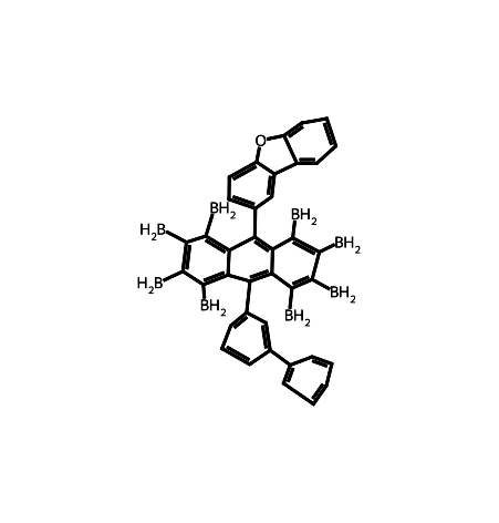 Bc1c(B)c(B)c2c(-c3ccc4oc5ccccc5c4c3)c3c(B)c(B)c(B)c(B)c3c(-c3cccc(-c4ccccc4)c3)c2c1B